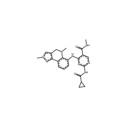 CNC(=O)c1cnc(NC(=O)C2CC2)nc1Nc1cccc2c1N(C)Cc1cn(C)nc1-2